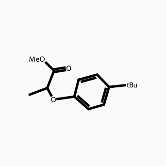 COC(=O)C(C)Oc1ccc(C(C)(C)C)cc1